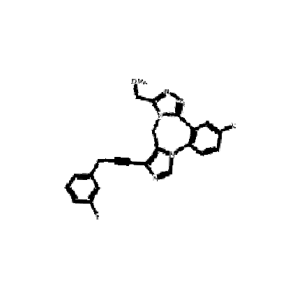 COCc1nnc2n1Cc1c(C#CCc3cccc(F)c3)ncn1-c1ccc(Cl)cc1-2